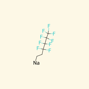 FC(F)(F)C(F)(F)C(F)(F)C(F)(F)C[CH2][Na]